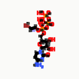 Nc1ccn([C@@H]2O[C@H](COP(=O)(O/C=C/Br)OP(=O)(O)OP(=O)(O)O)[C@@H](O)[C@H]2O)c(=O)n1